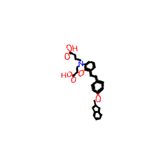 O=C(O)CCCN1CC(C(=O)O)Oc2c(CCc3ccc(OCC4Cc5ccccc5C4)cc3)cccc21